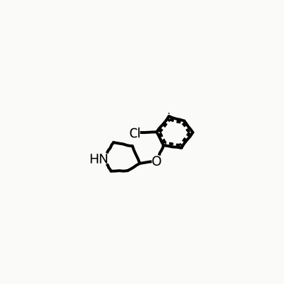 Clc1[c]cccc1OC1CCNCC1